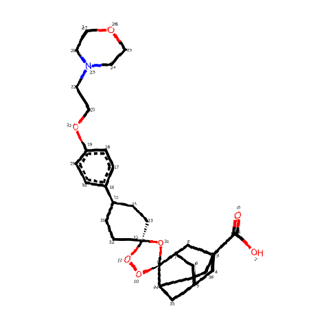 O=C(O)C12CC3CC(C1)[C@]1(OO[C@]4(CCC(c5ccc(OCCN6CCOCC6)cc5)CC4)O1)C(C3)C2